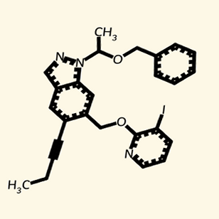 CCC#Cc1cc2cnn(C(C)OCc3ccccc3)c2cc1COc1ncccc1I